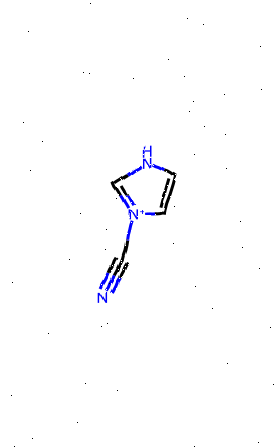 N#C[n+]1cc[nH]c1